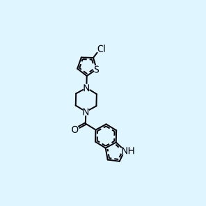 O=C(c1ccc2[nH]ccc2c1)N1CCN(c2ccc(Cl)s2)CC1